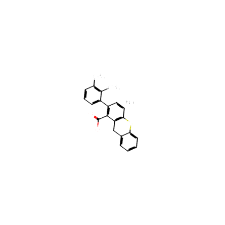 Cc1cccc(-c2ccc3c(c2C(=O)[O-])Cc2ccccc2S3)c1C.[Na+]